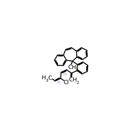 C=C(/C=C\C(Cl)=C/C)c1ccccc1C1(C)c2ccccc2C=Cc2ccccc21